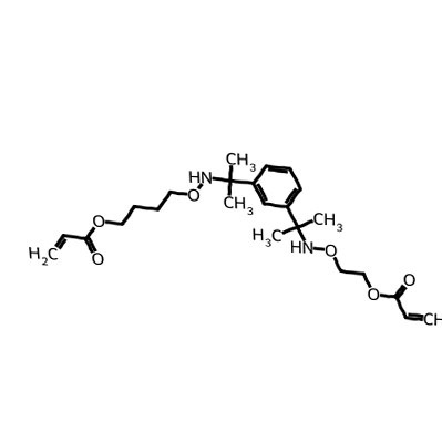 C=CC(=O)OCCCCONC(C)(C)c1cccc(C(C)(C)NOCCOC(=O)C=C)c1